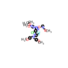 COCCN1CCC[C@H]1COc1nc(N2CCN(C(=O)OC(C)(C)C)CC2)c2cc(Cl)c(-c3nc(N(Cc4ccc(OC)cc4)Cc4ccc(OC)cc4)ccc3C(F)(F)F)cc2n1